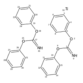 N=C(Oc1ccccc1)Oc1ccccc1.N=C(Oc1ccccc1)Oc1ccccc1.[Ti]